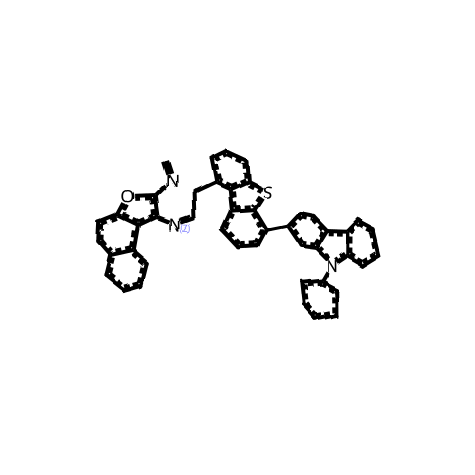 C=Nc1oc2ccc3ccccc3c2c1/N=C\Cc1cccc2sc3c(-c4ccc5c6ccccc6n(-c6ccccc6)c5c4)cccc3c12